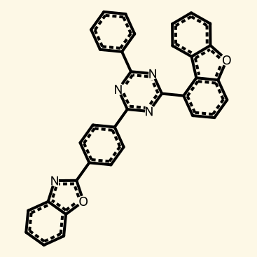 c1ccc(-c2nc(-c3ccc(-c4nc5ccccc5o4)cc3)nc(-c3cccc4oc5ccccc5c34)n2)cc1